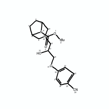 CC(C)(C)OC(=O)N1C2CCC1CN(CC(O)COc1ccc(C#N)cc1)C2